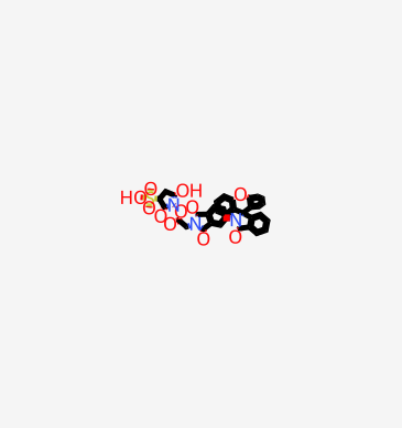 O=C(CN1C(=O)c2ccc(N3C(=O)c4ccccc4C34c3ccccc3Oc3ccccc34)cc2C1=O)ON1C(=O)C(S(=O)(=O)O)CC1O